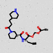 C#CC[C@H](NC(=O)[C@@H]1CCCN(C(=O)CCC2CCNCC2)C1)C(=O)OCOC(=O)C(C)(C)C